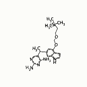 CC(c1cc(OCOCC[Si](C)(C)C)c2cc[nH]c2c1)c1cnc(N)nc1N